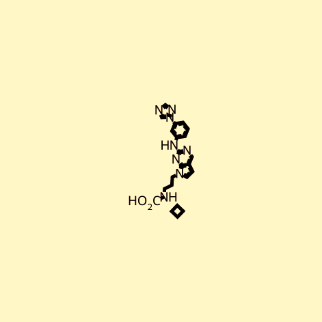 C1CCC1.O=C(O)NCCCn1ccc2cnc(Nc3cccc(-n4cncn4)c3)nc21